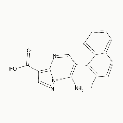 Cc1ccc2ccccc2c1-c1cnc2c(C(=O)O)cnn2c1N